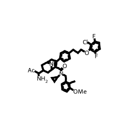 COc1cccc(CN(C(=O)C2=C(c3ccc(CCCOc4c(F)ccc(F)c4Cl)cc3)CC3CC(C(N)C(C)=O)CC2N3)C2CC2)c1C